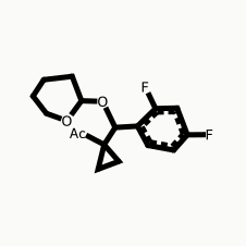 CC(=O)C1(C(OC2CCCCO2)c2ccc(F)cc2F)CC1